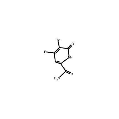 NC(=O)c1cc(F)c(Br)c(=O)[nH]1